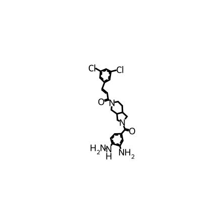 NNc1ccc(C(=O)N2CC3CCN(C(=O)/C=C/c4cc(Cl)cc(Cl)c4)CC3C2)cc1N